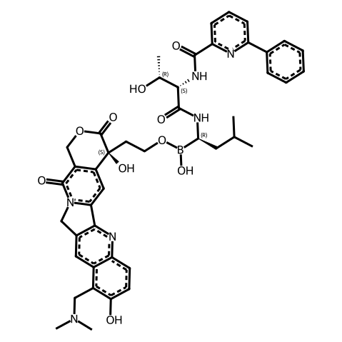 CC(C)C[C@H](NC(=O)[C@@H](NC(=O)c1cccc(-c2ccccc2)n1)[C@@H](C)O)B(O)OCC[C@@]1(O)C(=O)OCc2c1cc1n(c2=O)Cc2cc3c(CN(C)C)c(O)ccc3nc2-1